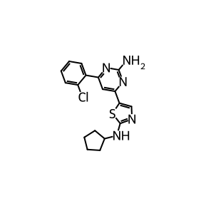 Nc1nc(-c2cnc(NC3CCCC3)s2)cc(-c2ccccc2Cl)n1